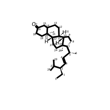 CC[C@H](/C=C/[C@@H](C)[C@H]1CC[C@H]2[C@@H]3CCC4CC(=O)CC[C@]4(C)[C@H]3CC[C@]12C)C(C)C